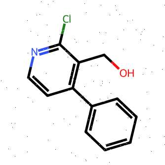 OCc1c(-c2ccccc2)ccnc1Cl